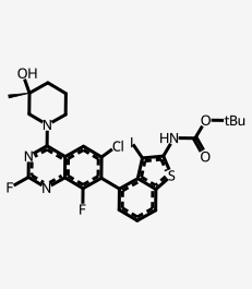 CC(C)(C)OC(=O)Nc1sc2cccc(-c3c(Cl)cc4c(N5CCC[C@@](C)(O)C5)nc(F)nc4c3F)c2c1I